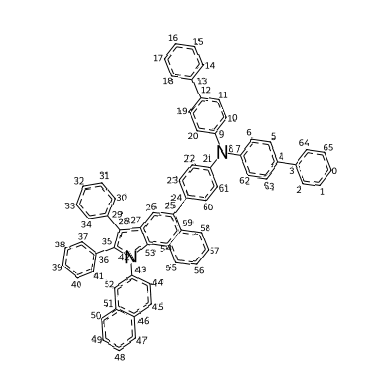 c1ccc(-c2ccc(N(c3ccc(-c4ccccc4)cc3)c3ccc(-c4cc5c(-c6ccccc6)c(-c6ccccc6)n(-c6ccc7ccccc7c6)c5c5ccccc45)cc3)cc2)cc1